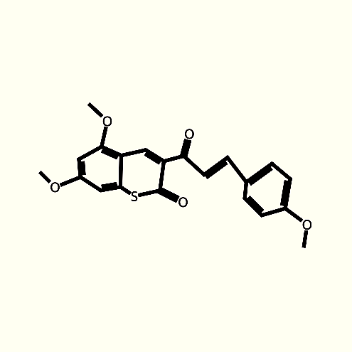 COc1ccc(/C=C/C(=O)c2cc3c(OC)cc(OC)cc3sc2=O)cc1